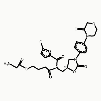 NCC(=O)OCCCC(=O)N(C[C@H]1CN(c2ccc(N3CCOCC3=O)cc2)C(=O)O1)C(=O)c1ccc(Cl)s1